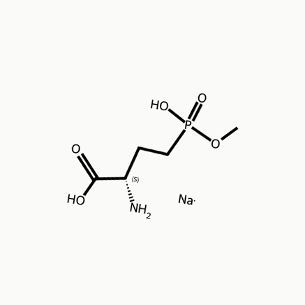 COP(=O)(O)CC[C@H](N)C(=O)O.[Na]